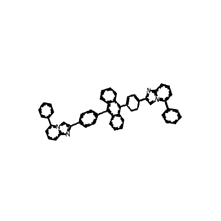 C1=C(c2cn3c(-c4ccccc4)cccc3n2)CCC(c2c3ccccc3c(-c3ccc(-c4cn5c(-c6ccccc6)cccc5n4)cc3)c3ccccc23)=C1